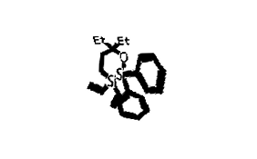 C=C[Si]1(C=C)CCC(CC)(CC)O[Si]1(c1ccccc1)c1ccccc1